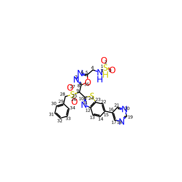 O=[SH](=O)NCc1nnc(C(c2nc3ccc(-c4cncnc4)cc3s2)S(=O)(=O)Cc2ccccc2)o1